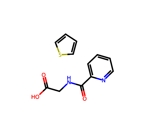 O=C(O)CNC(=O)c1ccccn1.c1ccsc1